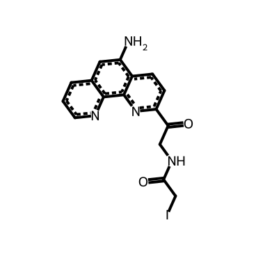 Nc1cc2cccnc2c2nc(C(=O)CNC(=O)CI)ccc12